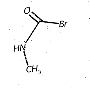 CNC(=O)Br